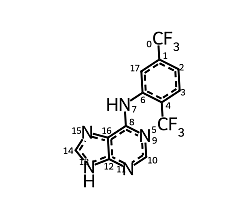 FC(F)(F)c1ccc(C(F)(F)F)c(Nc2ncnc3[nH]cnc23)c1